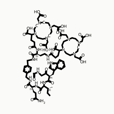 CC[C@@H](C)C(NC(=O)[C@H](Cc1c[nH]c2ccccc12)C(=O)CNC(C)=O)C(=O)N[C@@H](CCC(N)=O)C(=O)NCc1ccc(CNC(=O)[C@H](CCNC(=O)CCC(C(=O)O)N2CCN(CC(=O)O)CCN(CC(=O)O)CCN(CC(=O)O)CC2)NC(=O)CCC(C(=O)O)N2CCN(CC(=O)O)CCN(CC(=O)O)CCN(CC(=O)O)CC2)cc1